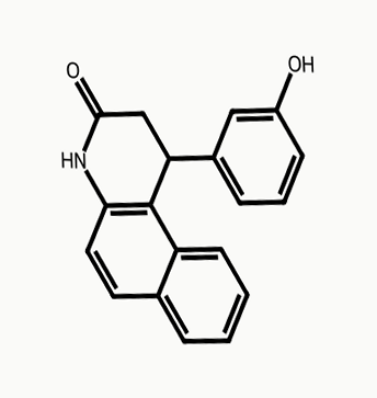 O=C1CC(c2cccc(O)c2)c2c(ccc3ccccc23)N1